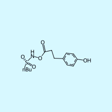 CCCCS(=O)(=O)NOC(=O)CCc1ccc(O)cc1